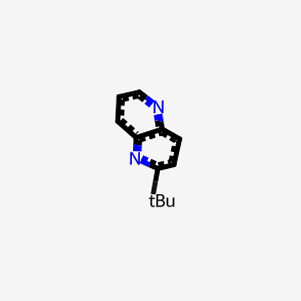 CC(C)(C)c1ccc2ncccc2n1